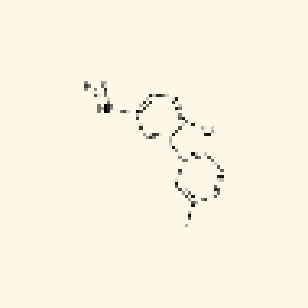 BBc1ccc2oc3ccc(C)cc3c2c1